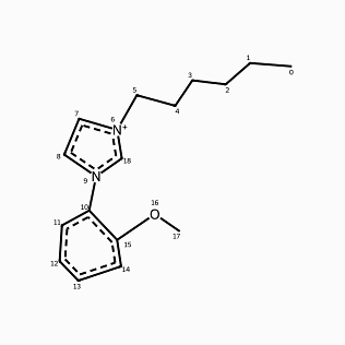 CCCCCC[n+]1ccn(-c2ccccc2OC)c1